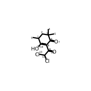 CC1CC(C)(C)C(=O)C(C(=O)C(Cl)Cl)=C1O